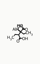 CCC(C(=O)O)C(CC)(CC)C(=O)O.[AlH3]